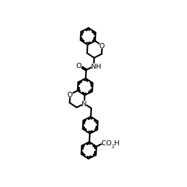 O=C(NC1COc2ccccc2C1)c1ccc2c(c1)OCCN2Cc1ccc(-c2ccccc2C(=O)O)cc1